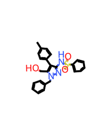 Cc1ccc(-c2c(NS(=O)(=O)c3ccccc3)nn(Cc3ccccc3)c2CO)cc1